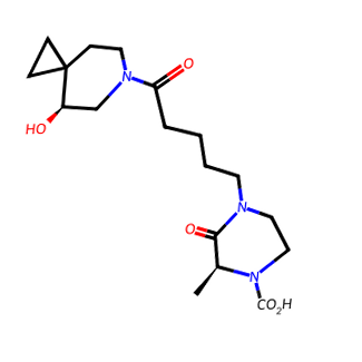 C[C@H]1C(=O)N(CCCCC(=O)N2CCC3(CC3)[C@H](O)C2)CCN1C(=O)O